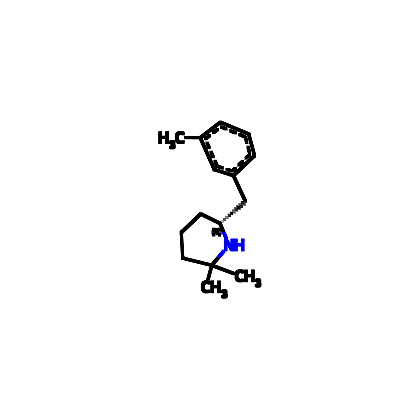 Cc1cccc(C[C@H]2CCCC(C)(C)N2)c1